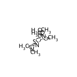 C[C@H]1C[C@H](c2nc3cc(C4=CC[C@H](C)CN4C(=O)OC(C)(C)C)ccc3s2)CN(C)C1